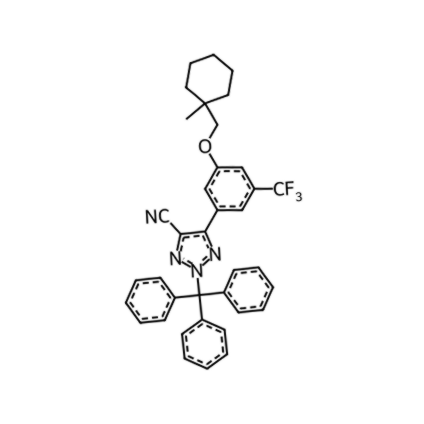 CC1(COc2cc(-c3nn(C(c4ccccc4)(c4ccccc4)c4ccccc4)nc3C#N)cc(C(F)(F)F)c2)CCCCC1